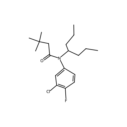 CCCC(CCC)N(C(=O)CC(C)(C)C)c1ccc(F)c(Cl)c1